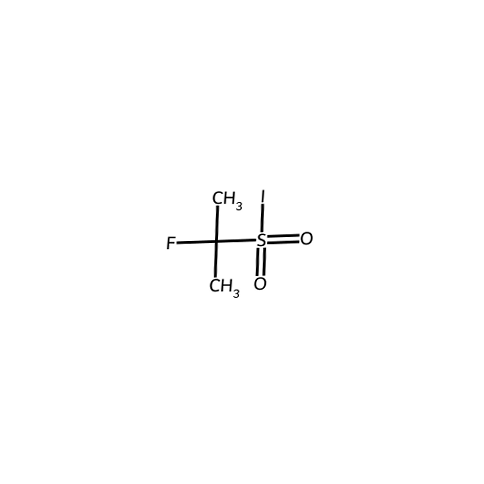 CC(C)(F)S(=O)(=O)I